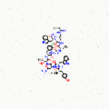 CNC(=N)NCCC[C@H](NC(=O)[C@H](CC(C)C)NC(=O)NNC(=O)[C@H](Cc1ccc(Cl)cc1)NC(=O)[C@@H](NC(=O)[C@H](CC(N)=O)NC(=O)[C@@H](Cc1c[nH]c2ccccc12)NC(=O)[C@@H](Cc1ccc(O)cc1)NC(C)=O)[C@@H](C)O)C(=O)N[C@@H](Cc1c[nH]c2ccccc12)C(N)=O